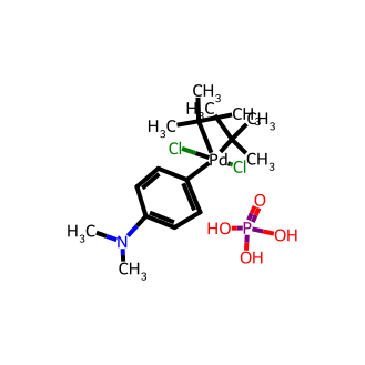 CN(C)c1cc[c]([Pd]([Cl])([Cl])([C](C)(C)C)[C](C)(C)C)cc1.O=P(O)(O)O